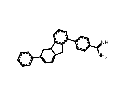 N=C(N)c1ccc(-c2cccc3c2CC2=CC=C(c4ccccc4)CC23)cc1